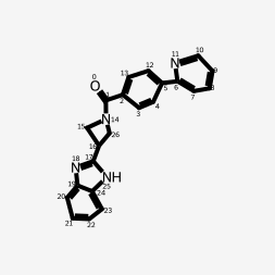 O=C(c1ccc(-c2ccccn2)cc1)N1CC(c2nc3ccccc3[nH]2)C1